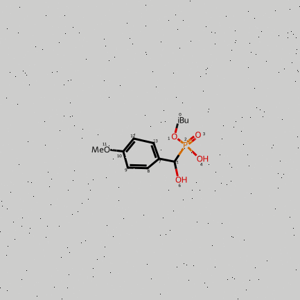 CCC(C)OP(=O)(O)C(O)c1ccc(OC)cc1